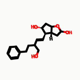 OCC(/C=C/[C@H]1[C@H](O)CC2OC(O)C[C@@H]21)CCc1ccccc1